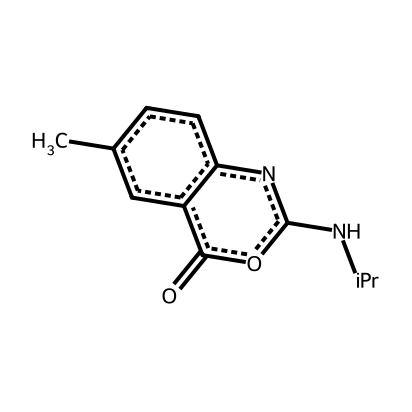 Cc1ccc2nc(NC(C)C)oc(=O)c2c1